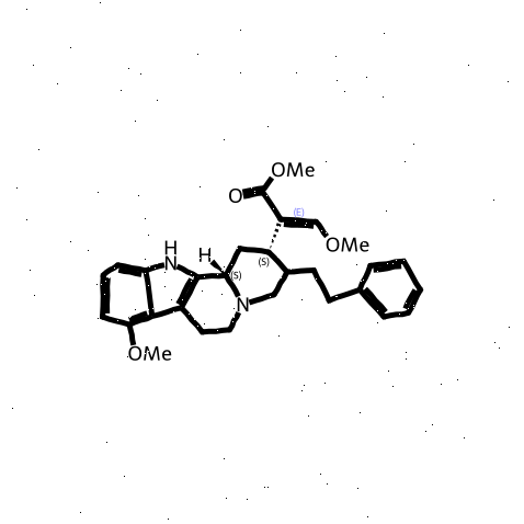 CO/C=C(/C(=O)OC)[C@H]1C[C@H]2c3[nH]c4cccc(OC)c4c3CCN2CC1CCc1ccccc1